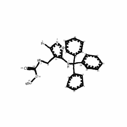 CC(C)c1n[nH]c(NC(c2ccccc2)(c2ccccc2)c2ccccc2)c1CNC(=O)OC(C)(C)C